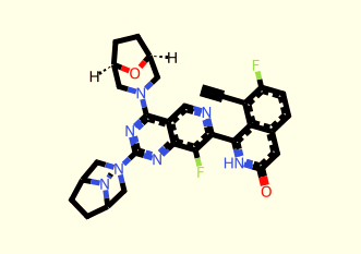 C#Cc1c(F)ccc2cc(=O)[nH]c(-c3ncc4c(N5C[C@H]6CC[C@@H](C5)O6)nc(N5CC6CCC(C5)N6C)nc4c3F)c12